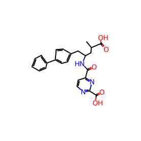 CC(CC(Cc1ccc(-c2ccccc2)cc1)NC(=O)c1ccnc(C(=O)O)n1)C(=O)O